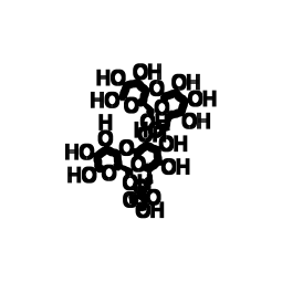 O=S(=O)(O)OC[C@H]1O[C@@H](O[C@H]2[C@H](O)[C@@H](O)[C@@H](O)O[C@@H]2CO)[C@H](O)[C@@H](O)[C@H]1O.OC[C@H]1O[C@@H](O[C@H]2[C@H](O)[C@@H](O)[C@@H](O)O[C@@H]2CO)[C@H](O)[C@@H](O)[C@H]1O